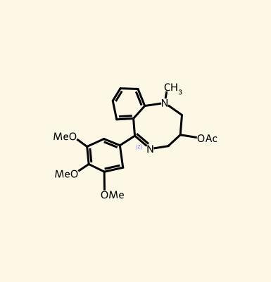 COc1cc(/C2=N/CC(OC(C)=O)CN(C)c3ccccc32)cc(OC)c1OC